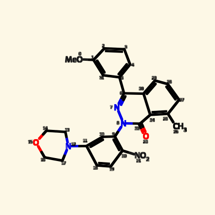 COc1cccc(-c2nn(-c3cc(N4CCOCC4)ccc3[N+](=O)[O-])c(=O)c3c(C)cccc23)c1